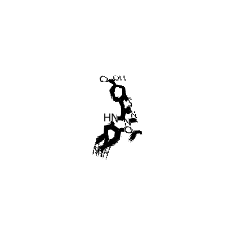 CC(C)Oc1cc2[nH]ncc2cc1Nc1ncnc2sc3c(c12)CCC(C(=O)O)C3